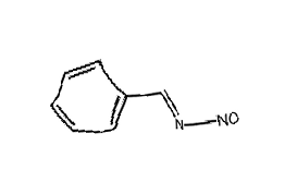 O=NN=Cc1ccccc1